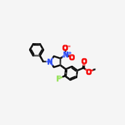 COC(=O)c1ccc(F)c(C2CN(Cc3ccccc3)CC2[N+](=O)[O-])c1